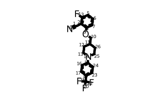 N#Cc1c(F)cccc1OCC1CCN(c2ccc(C(F)(F)F)cc2)CC1